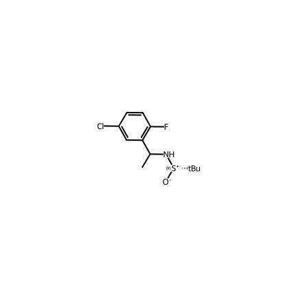 CC(N[S@@+]([O-])C(C)(C)C)c1cc(Cl)ccc1F